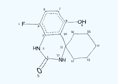 O=C1Nc2c(F)ccc(O)c2C2(CCCCC2)N1